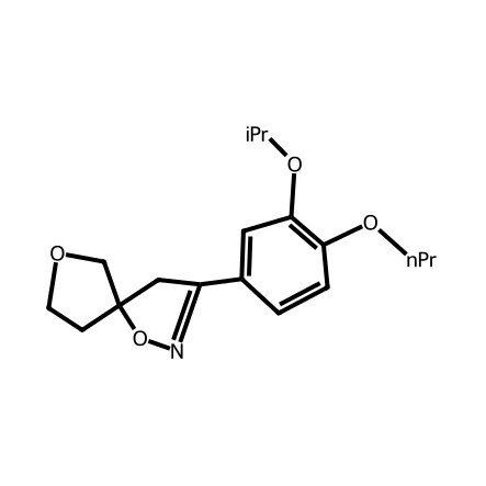 CCCOc1ccc(C2=NOC3(CCOC3)C2)cc1OC(C)C